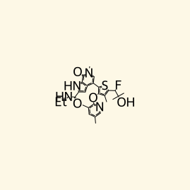 CCNC(=O)c1cc2c(-c3sc(C(F)C(C)(C)O)c(C)c3Oc3ncc(C)cc3C)cn(C)c(=O)c2[nH]1